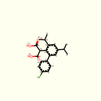 CC(C)c1cc(-c2ccc(F)cc2)c(C(C(=O)O)C(=O)O)c(C(C)C)c1